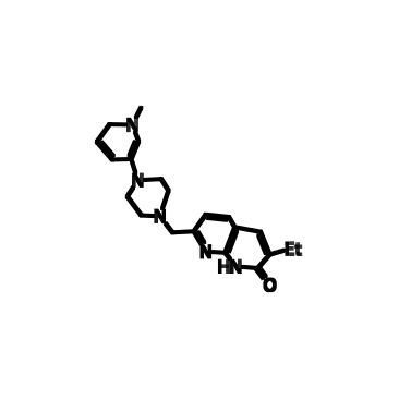 CCc1cc2ccc(CN3CCN(C4=CN(C)CC=C4)CC3)nc2[nH]c1=O